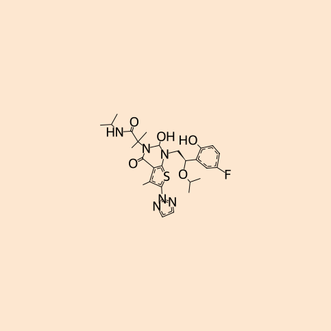 Cc1c(-n2nccn2)sc2c1C(=O)N(C(C)(C)C(=O)NC(C)C)C(O)N2C[C@H](OC(C)C)c1cc(F)ccc1O